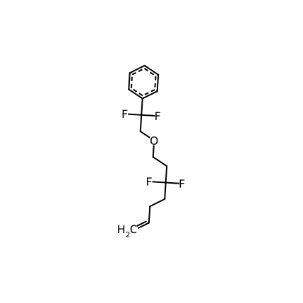 C=CCCC(F)(F)CCOCC(F)(F)c1ccccc1